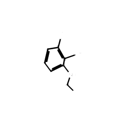 O=C(O)CNc1cccc(Cl)c1F